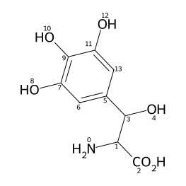 NC(C(=O)O)C(O)c1cc(O)c(O)c(O)c1